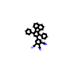 N#Cc1cc(-c2cc(-c3ccccc3)c3c(c2-c2ccccc2)-c2cccc4cccc-3c24)cc(C#N)c1C#N